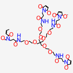 C/C=C\C(=O)N(C=O)CCC(=O)NCCOCCOCC(COCCOCCNC(=O)CCN1C(=O)C=CC1=O)(COCCOCCNC(=O)CCN1C(=O)C=CC1=O)COCCOCCNC(=O)CCN1C(=O)C=C[C@H]1OC